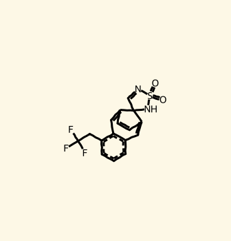 O=S1(=O)N=CC2(N1)C1=Cc3cccc(CC(F)(F)F)c3C=C2C=C1